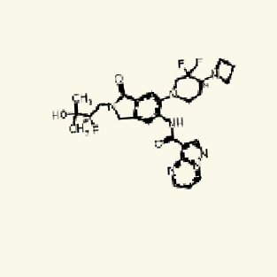 CC(C)(O)[C@H](F)CN1Cc2cc(NC(=O)c3cnn4cccnc34)c(N3CC[C@H](N4CCC4)C(F)(F)C3)cc2C1=O